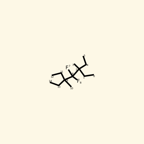 CCC(C)(CC)C(F)(F)C(C)(CC)CC